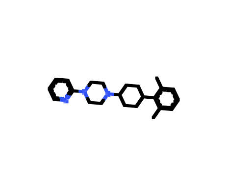 Cc1cccc(C)c1C1CCC(N2CCN(c3ccccn3)CC2)CC1